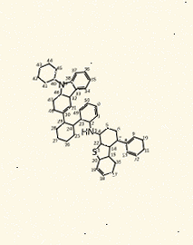 C1=CC(NC2CCC(C3=CCCC=C3)C3C4CCC=CC4SC23)C(C2CCCCC2C2=CC3c4ccccc4N(C4CCCCC4)C3CC2)C=C1